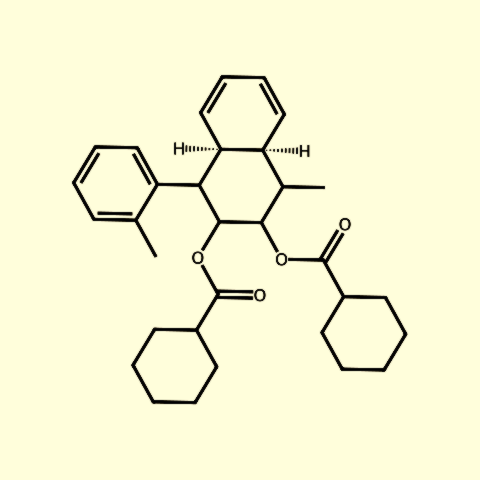 Cc1ccccc1C1C(OC(=O)C2CCCCC2)C(OC(=O)C2CCCCC2)C(C)[C@@H]2C=CC=C[C@H]12